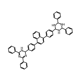 c1ccc(C2=NC(c3ccc(-c4ccc(-c5ccc(C6NC(c7ccccc7)NC(c7ccccc7)N6)cc5)c5ccccc45)cc3)NC(c3ccccc3)=N2)cc1